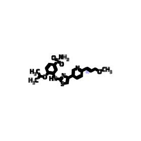 COC/C=C/c1ccc(-c2csc(Nc3cc(S(N)(=O)=O)ccc3OC(C)C)n2)cn1